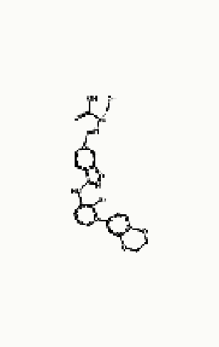 O=C(O)[C@H](CO)N=Cc1ccc2c(Nc3cccc(-c4ccc5c(c4)OCCO5)c3Br)noc2c1